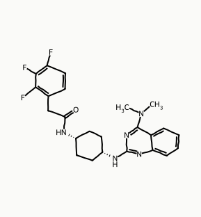 CN(C)c1nc(N[C@H]2CC[C@@H](NC(=O)Cc3ccc(F)c(F)c3F)CC2)nc2ccccc12